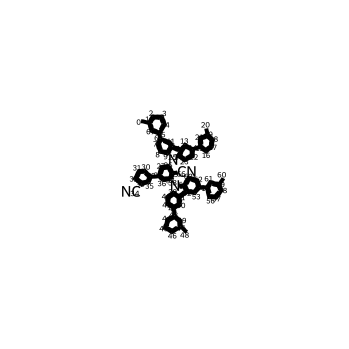 Cc1cccc(-c2ccc3c(c2)c2cc(-c4cccc(C)c4)ccc2n3-c2cc(-c3cccc(C#N)c3)cc(-n3c4ccc(-c5cccc(C)c5)cc4c4cc(-c5cccc(C)c5)ccc43)c2C#N)c1